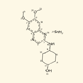 COc1cc2ncc(NC3CCC(O)CC3)nc2cc1OC.[SnH4]